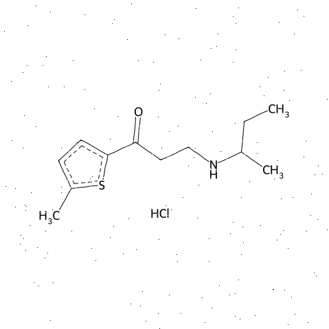 CCC(C)NCCC(=O)c1ccc(C)s1.Cl